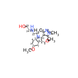 COc1ccc2c(c1)c(C=O)c(-c1c(C)nn(C)c1C)n2CCNCCO